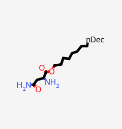 CCCCCCCCCCCCCCCCCCOC(=O)C(N)CC(N)=O